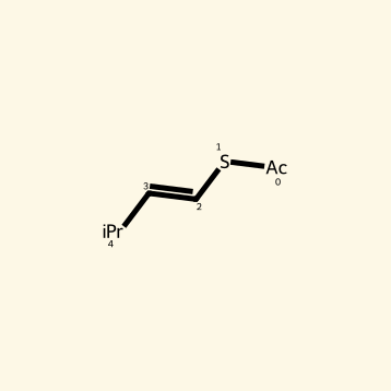 CC(=O)S/C=C/C(C)C